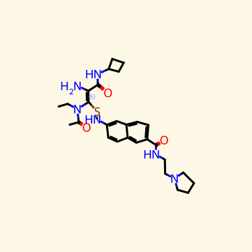 CCN(C(C)=O)/C(SNc1ccc2cc(C(=O)NCCN3CCCC3)ccc2c1)=C(\N)C(=O)NC1CCC1